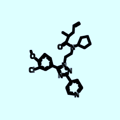 C=CCC(C)C(=O)N(CCn1nc(-c2ccncc2)nc1-c1ccc(OC)c(Cl)c1)C1CCCC1